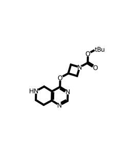 CC(C)(C)OC(=O)N1CC(Oc2ncnc3c2CNCC3)C1